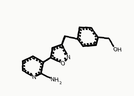 Nc1ncccc1-c1cc(Cc2ccc(CO)cc2)no1